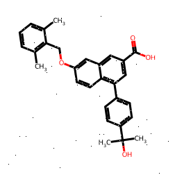 Cc1cccc(C)c1COc1ccc2c(-c3ccc(C(C)(C)O)cc3)cc(C(=O)O)cc2c1